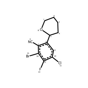 N#Cc1c(C2CCCCO2)cc(Cl)c(F)c1Br